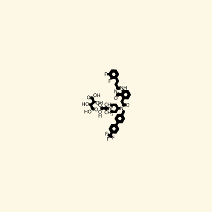 CC(C)(C(=O)O)N1CCC(N(Cc2ccc(-c3ccc(C(F)(F)F)cc3)cc2)C(=O)Cc2cccc3[nH]c(CCc4cccc(F)c4F)nc(=O)c23)CC1.O=C(O)C(O)C(O)C(=O)O